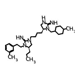 CCC[C@@H]1CN(CCCC[C@H]2CNC(=N)N2CC2CCC(C)CC2)C(=N)N1CCc1cccc(C)c1